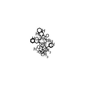 CC(C)(C)NC(=O)[C@@H]1C[C@@H]2CCCC[C@@H]2CN1C[C@@H](O)[C@H](Cc1ccccc1)NC(=O)[C@@H](NC(=O)c1ccncc1)C(C)(C)S(C)(=O)=O